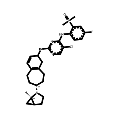 CP(C)(=O)c1cc(F)ccc1Nc1nc(NC2C=CC3=C(CC[C@H](N4CCC5C[C@H]54)CC3)C2)ncc1Cl